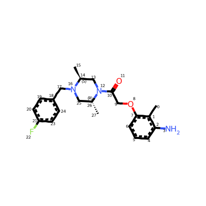 Cc1c(N)cccc1OCC(=O)N1C[C@H](C)N(Cc2ccc(F)cc2)C[C@H]1C